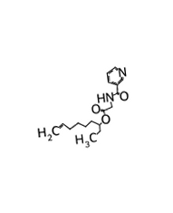 C=CCCCCC(CC)OC(=O)CNC(=O)c1cccnc1